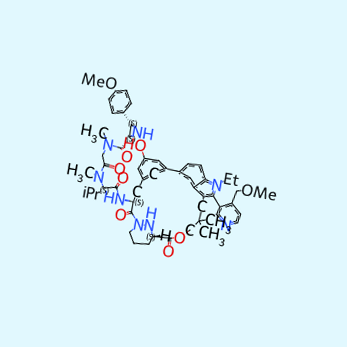 CCn1c(-c2cnccc2COC)c2c3cc(ccc31)-c1cc(O)cc(c1)C[C@H](NC(=O)[C@H](C(C)C)N(C)C(=O)CN(C)C(=O)[C@H]1N[C@H]1c1ccc(OC)cc1)C(=O)N1CCC[C@H](N1)C(=O)OCC(C)(C)C2